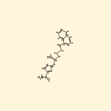 NC(=O)c1cn(C[C@@H](O)CCCOc2cccc3ccccc23)cn1